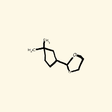 CC1(C)CCC(C2OCCO2)C1